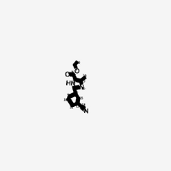 CCOC(=O)c1[nH]c(-c2cccc(C#N)c2)nc1C